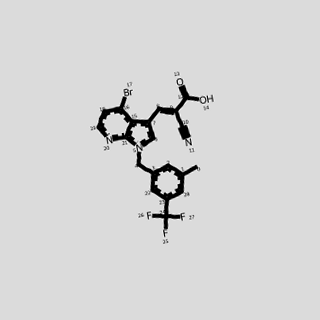 Cc1cc(Cn2cc(/C=C(\C#N)C(=O)O)c3c(Br)ccnc32)cc(C(F)(F)F)c1